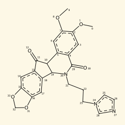 COc1cc2c(cc1OC)C1C(=O)c3cc4c(cc3C1N(CCCn1ccnc1)C2=O)OCO4